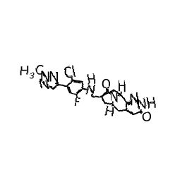 Cn1ncc(-c2cc(F)c(NCC34C[C@H]5Cc6cc(=O)[nH]nc6[C@@H](C3)N5C4=O)cc2Cl)n1